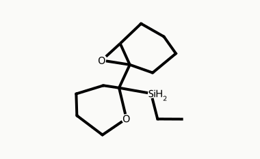 CC[SiH2]C1(C23CCCCC2O3)CCCCO1